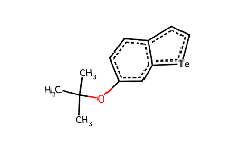 CC(C)(C)Oc1ccc2cc[te]c2c1